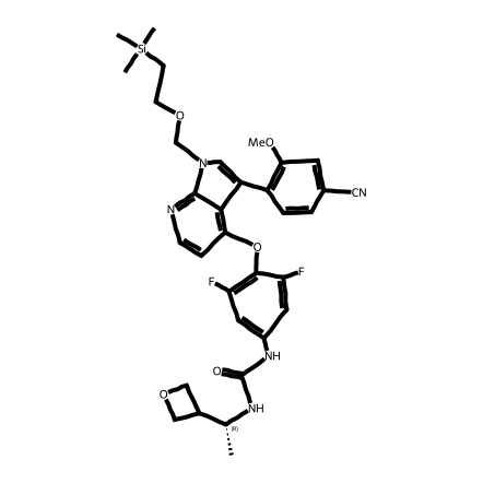 COc1cc(C#N)ccc1-c1cn(COCC[Si](C)(C)C)c2nccc(Oc3c(F)cc(NC(=O)N[C@H](C)C4COC4)cc3F)c12